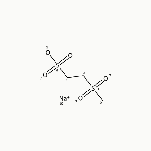 CS(=O)(=O)CCS(=O)(=O)[O-].[Na+]